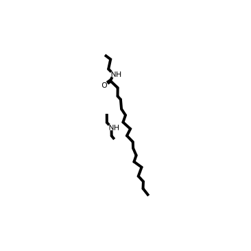 CCCCCCCCCCCCCCCCCC(=O)NCCC.CCNCC